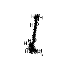 CP(O)OC[C@H]1O[C@@H](n2cc(CCCNC(=O)CCOCCOCCOCCOCCNC(=O)CCCC[C@@H]3SC[C@@H]4NC(=O)N[C@@H]43)c(N)nc2=O)C(O)C1OP(=O)(O)O